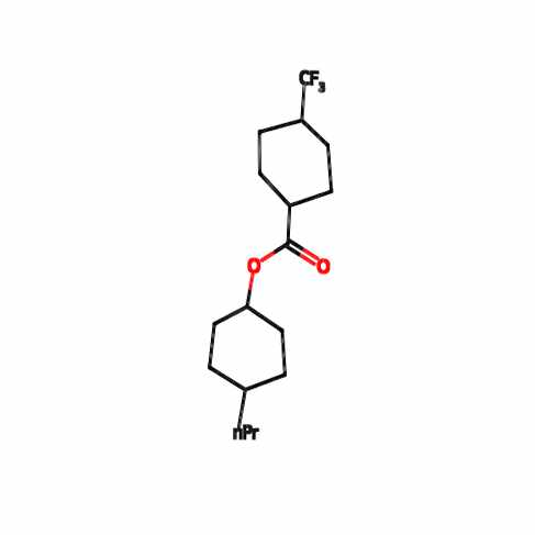 CCCC1CCC(OC(=O)C2CCC(C(F)(F)F)CC2)CC1